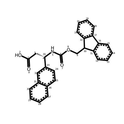 O=C(O)C[C@H](NC(=O)OCC1c2ccccc2-c2ccccc21)c1ccc2ccccc2c1